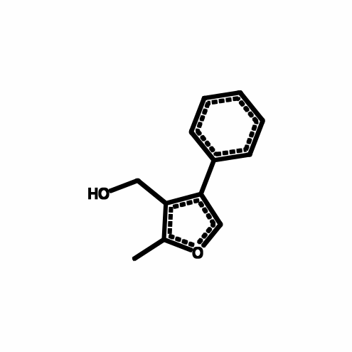 Cc1occ(-c2ccccc2)c1CO